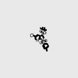 Cc1ccc(S(=O)(=O)N2CC(B3OC(C)(C)C(C)(C)O3)c3cc(Cl)cnc32)cc1